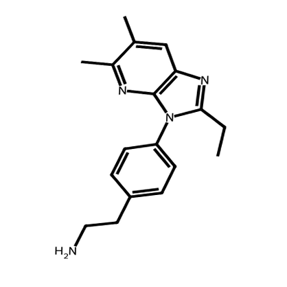 CCc1nc2cc(C)c(C)nc2n1-c1ccc(CCN)cc1